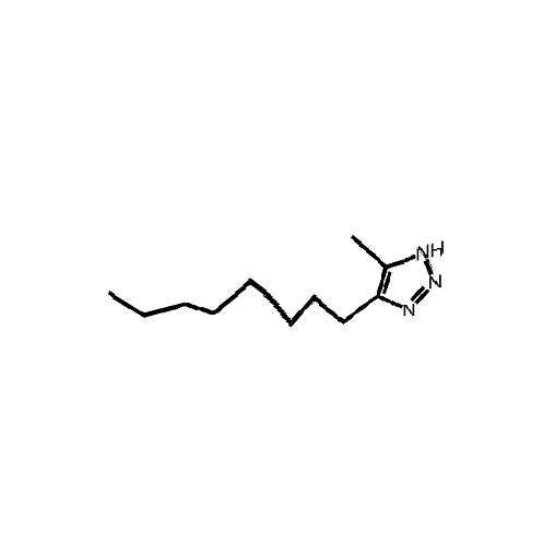 CCCCCCCCc1nn[nH]c1C